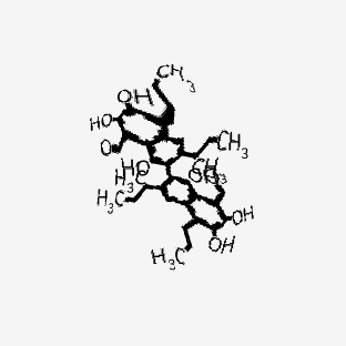 CCCc1c(O)c(O)c(C=O)c2c(O)c(-c3c(C(C)CC)cc4c(CCC)c(O)c(O)c(C=O)c4c3O)c(C(C)CC)cc12